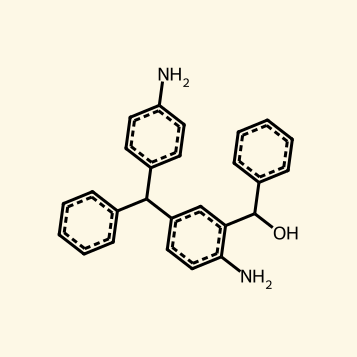 Nc1ccc(C(c2ccccc2)c2ccc(N)c(C(O)c3ccccc3)c2)cc1